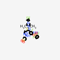 C[C@@H]1CN(C2CC(F)(F)C2)C[C@@H](C)N1c1nc(-c2cccc(NS(=O)(=O)c3c(F)cccc3F)c2F)c(-c2ccnc(NC3CCS(=O)(=O)CC3)n2)s1